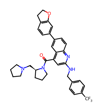 O=C(c1cc(NCc2ccc(C(F)(F)F)cc2)nc2ccc(-c3ccc4c(c3)OCC4)cc12)N1CCC[C@H]1CN1CCCC1